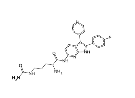 NC(=O)NCCCC(N)C(=O)Nc1ccc2c(-c3ccncc3)c(-c3ccc(F)cc3)[nH]c2n1